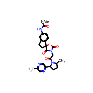 CNC(=O)Nc1ccc2c(c1)CCC21OC(=O)N(CC(=O)N2C(C)CCC2c2cnc(C)cn2)C1=O